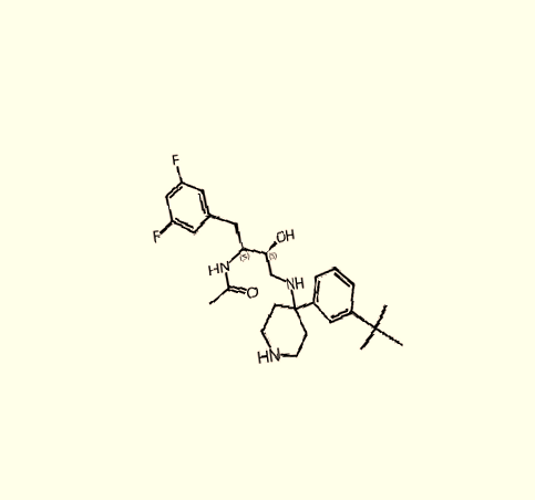 CC(=O)N[C@@H](Cc1cc(F)cc(F)c1)[C@@H](O)CNC1(c2cccc(C(C)(C)C)c2)CCNCC1